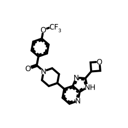 O=C(c1ccc(OC(F)(F)F)cc1)N1CCC(c2ccnc3[nH]c(C4COC4)nc23)CC1